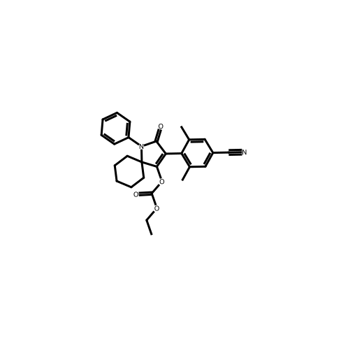 CCOC(=O)OC1=C(c2c(C)cc(C#N)cc2C)C(=O)N(c2ccccc2)C12CCCCC2